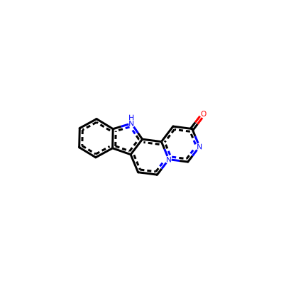 O=c1cc2c3[nH]c4ccccc4c3ccn2cn1